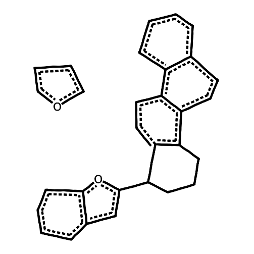 c1ccc2oc(C3CCCc4c3ccc3c4ccc4ccccc43)cc2c1.c1ccoc1